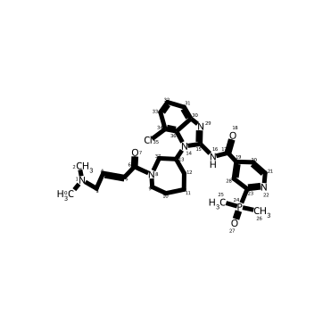 CN(C)CC=CC(=O)N1CCCCC(n2c(NC(=O)c3ccnc(P(C)(C)=O)c3)nc3cccc(Cl)c32)C1